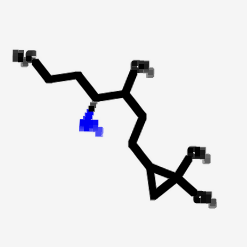 CCC[C@@H](N)C(C)CCC1CC1(C)C